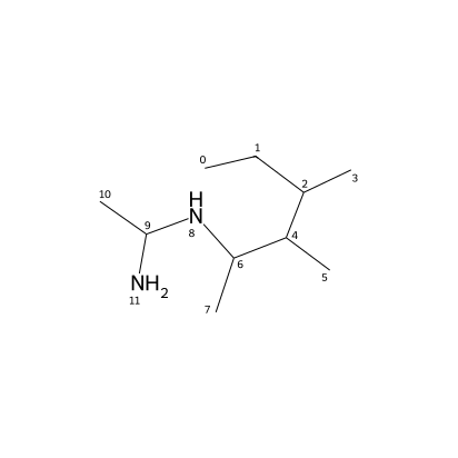 CCC(C)C(C)C(C)NC(C)N